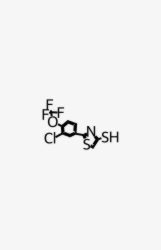 FC(F)(F)Oc1ccc(-c2nc(S)cs2)cc1Cl